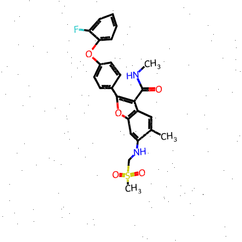 CNC(=O)c1c(-c2ccc(Oc3ccccc3F)cc2)oc2cc(NCS(C)(=O)=O)c(C)cc12